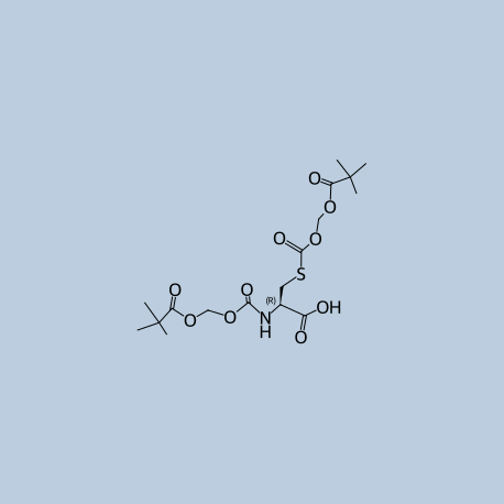 CC(C)(C)C(=O)OCOC(=O)N[C@@H](CSC(=O)OCOC(=O)C(C)(C)C)C(=O)O